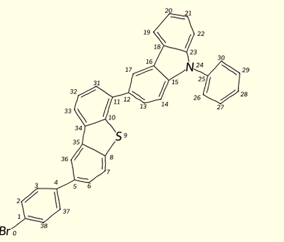 Brc1ccc(-c2ccc3sc4c(-c5ccc6c(c5)c5ccccc5n6-c5ccccc5)cccc4c3c2)cc1